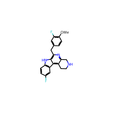 COc1ccc(Cc2nc3c(c4c2[nH]c2ccc(F)cc24)CCNC3)cc1F